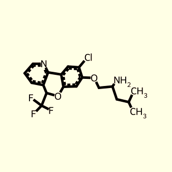 CC(C)CC(N)COc1cc2c(cc1Cl)-c1ncccc1C(C(F)(F)F)O2